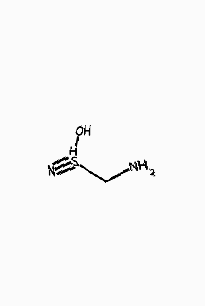 N#[SH](O)CN